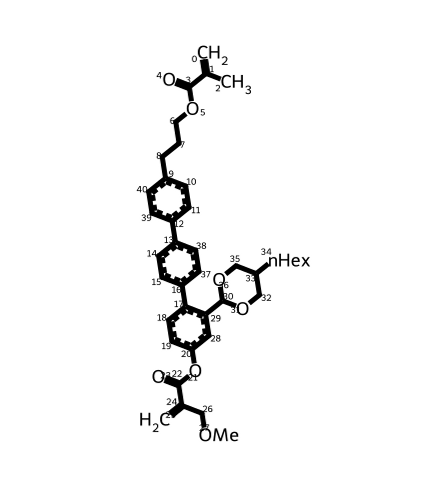 C=C(C)C(=O)OCCCc1ccc(-c2ccc(-c3ccc(OC(=O)C(=C)COC)cc3C3OCC(CCCCCC)CO3)cc2)cc1